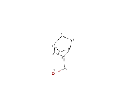 BrCC1CC2CCC1C2